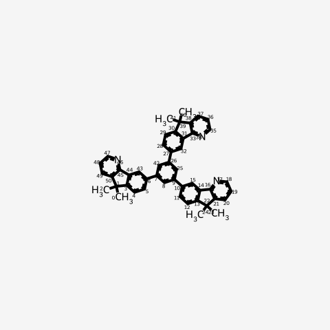 CC1(C)c2ccc(-c3cc(-c4ccc5c(c4)-c4ncccc4C5(C)C)cc(-c4ccc5c(c4)-c4ncccc4C5(C)C)c3)cc2-c2ncccc21